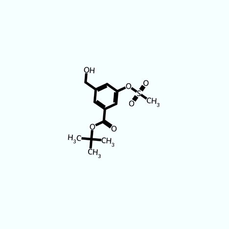 CC(C)(C)OC(=O)c1cc(CO)cc(OS(C)(=O)=O)c1